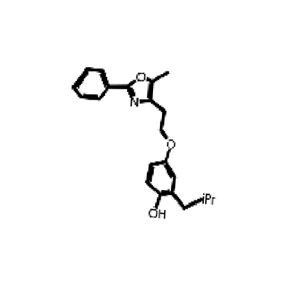 Cc1oc(-c2ccccc2)nc1CCOc1ccc(O)c(CC(C)C)c1